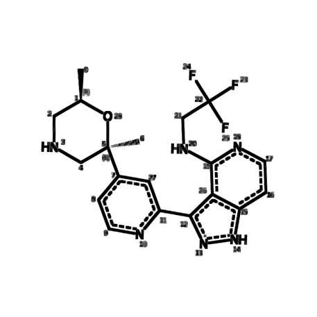 C[C@@H]1CNC[C@](C)(c2ccnc(-c3n[nH]c4ccnc(NCC(F)(F)F)c34)c2)O1